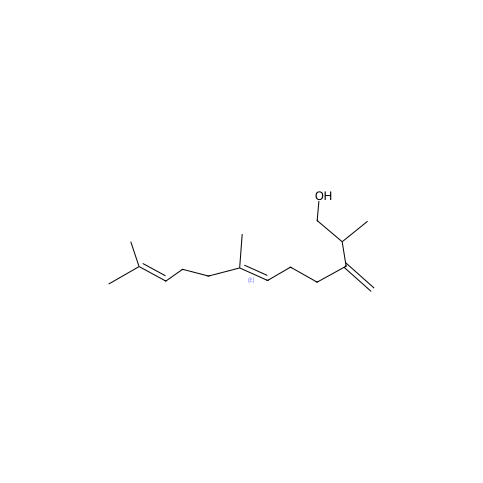 C=C(CC/C=C(\C)CCC=C(C)C)C(C)CO